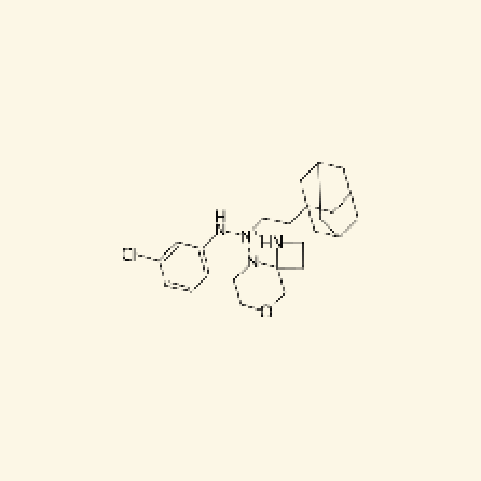 Clc1cccc(N[N+](CCC23CC4CC(CC(C4)C2)C3)N2CCOCC23CCN3)c1